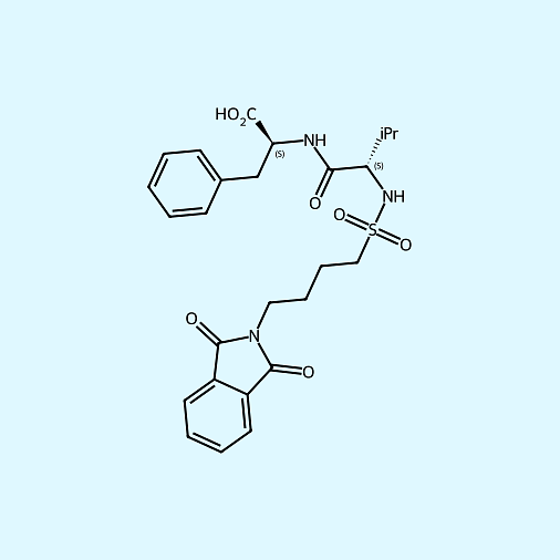 CC(C)[C@H](NS(=O)(=O)CCCCN1C(=O)c2ccccc2C1=O)C(=O)N[C@@H](Cc1ccccc1)C(=O)O